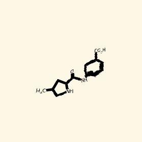 CC1CNC(C(=O)Nc2cccc(C(=O)O)c2)C1